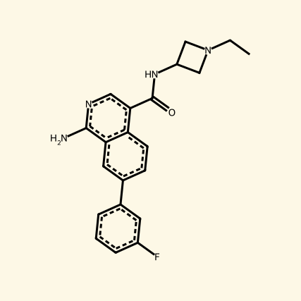 CCN1CC(NC(=O)c2cnc(N)c3cc(-c4cccc(F)c4)ccc23)C1